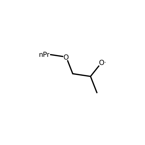 CCCOCC(C)[O]